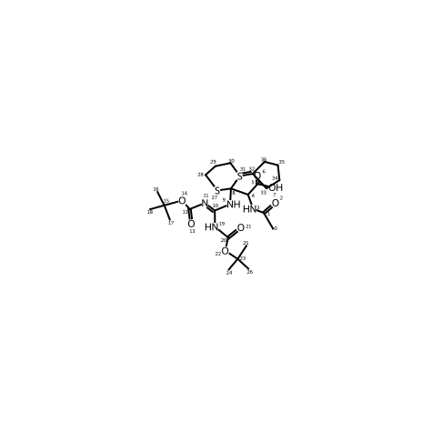 CC(=O)NC(C(=O)O)C1(NC(=NC(=O)OC(C)(C)C)NC(=O)OC(C)(C)C)SCCCS1=C1CCCC1